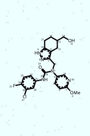 COc1ccc(N(Cc2n[nH]c3c2CC(CO)CC3)C(=O)Nc2ccc(F)c(Cl)c2)cn1